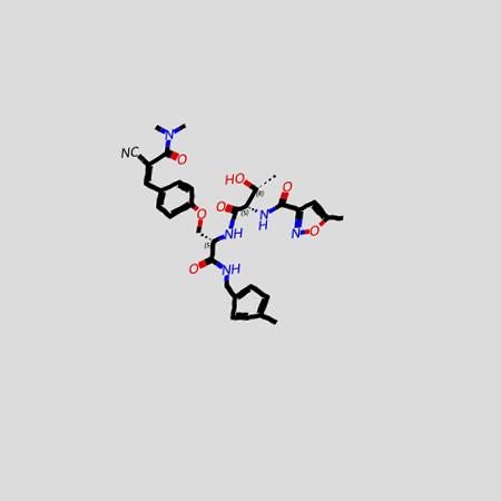 Cc1ccc(CNC(=O)[C@H](COc2ccc(C=C(C#N)C(=O)N(C)C)cc2)NC(=O)[C@@H](NC(=O)c2cc(C)on2)[C@@H](C)O)cc1